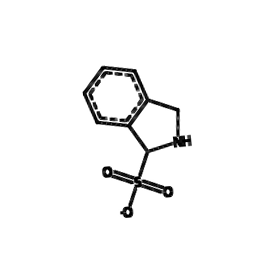 [O]S(=O)(=O)C1NCc2ccccc21